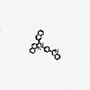 c1ccc2cc(-c3nc(-c4ccc(-c5cnc6ccccc6c5)cc4)nc4c3ccc3ccccc34)ccc2c1